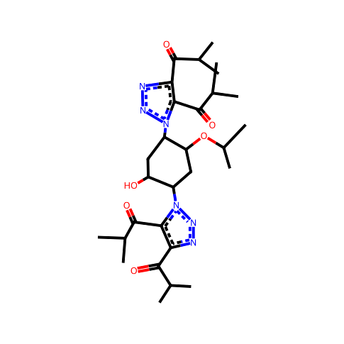 CC(C)OC1CC(n2nnc(C(=O)C(C)C)c2C(=O)C(C)C)C(O)CC1n1nnc(C(=O)C(C)C)c1C(=O)C(C)C